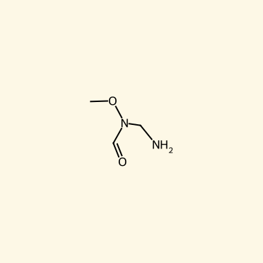 CON(C=O)CN